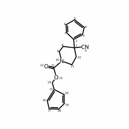 N#CC1(c2ccccc2)CCN(C(=O)OCc2ccccc2)CC1